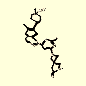 Cc1nc(N2CC3(CNC(=O)C3)C2)cc(-n2ncc3cc(C)c(C4CCC(C)(O)CC4)cc32)n1